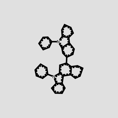 c1ccc(-n2c3ccccc3c3ccc(-c4cc5c(c6ccccc46)c4ccccc4n5-c4ccccc4)cc32)cc1